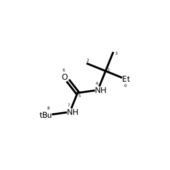 CCC(C)(C)NC(=O)NC(C)(C)C